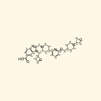 O=C(O)c1ccc2nc(CN3CCC(c4cccc(OCC5CCN(C6COC6)CC5)n4)CC3)n(CC3CCO3)c2c1